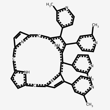 Cc1cc(C2=Cc3cc4ccc(cc5nc(cc6[nH]c(c(-c7ccnc(C)c7)c2n3)c(-c2ccnc(C)c2)c6-c2ccnc(C)c2)C=C5)[nH]4)ccn1